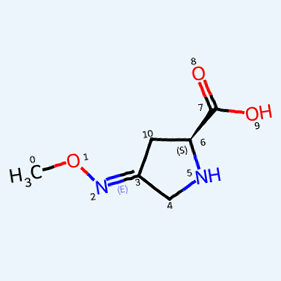 CO/N=C1/CN[C@H](C(=O)O)C1